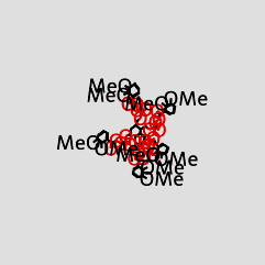 COc1cccc(C(=O)OOC(=O)OCCC(COC(=O)OOC(=O)c2cccc(OC)c2OC)C(COC(=O)OOC(=O)c2cccc(OC)c2OC)C(CCOC(=O)OOC(=O)c2cccc(OC)c2OC)COC(=O)OOC(=O)c2cccc(OC)c2OC)c1OC